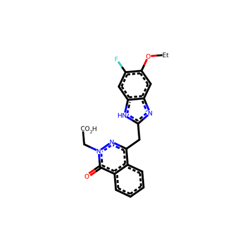 CCOc1cc2nc(Cc3nn(CC(=O)O)c(=O)c4ccccc34)[nH]c2cc1F